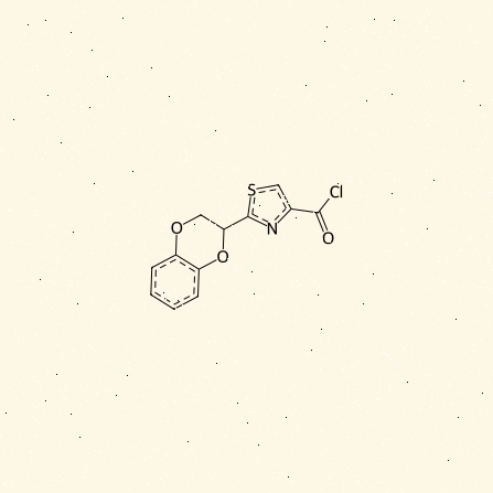 O=C(Cl)c1csc(C2COc3ccccc3O2)n1